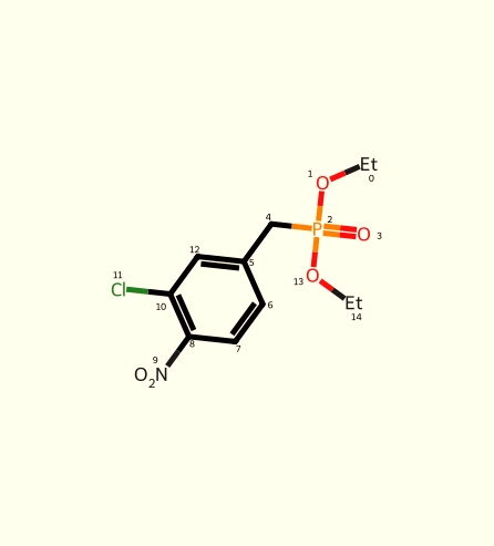 CCOP(=O)(Cc1ccc([N+](=O)[O-])c(Cl)c1)OCC